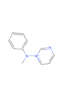 CN(c1ccccc1)[n+]1cccnc1